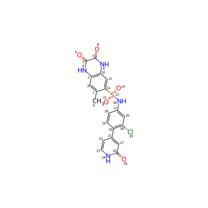 Cc1cc2[nH]c(=O)c(=O)[nH]c2cc1S(=O)(=O)Nc1ccc(-c2cc[nH]c(=O)c2)c(Cl)c1